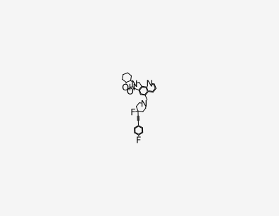 O=C1c2cc(CN3CCC(F)(C#Cc4ccc(F)cc4)CC3)c3cccnc3c2CN1C1CCCCC1O